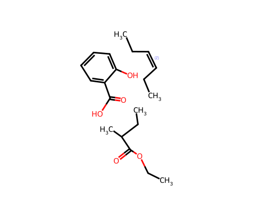 CC/C=C\CC.CCOC(=O)C(C)CC.O=C(O)c1ccccc1O